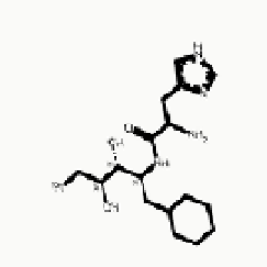 CC(C)C[C@H](O)[C@H](O)[C@H](CC1CCCCC1)NC(=O)C(N)Cc1c[nH]cn1